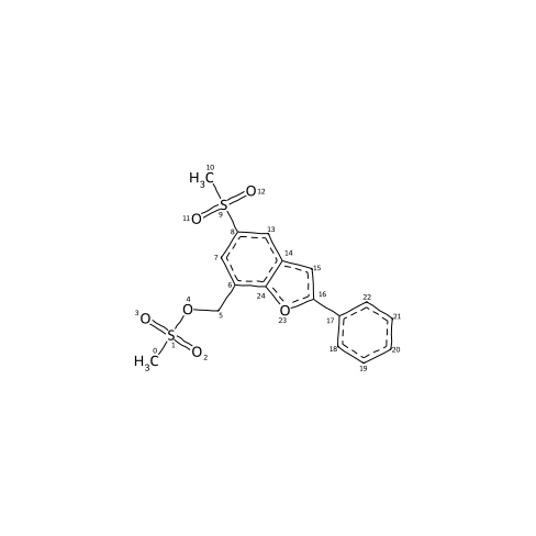 CS(=O)(=O)OCc1cc(S(C)(=O)=O)cc2cc(-c3ccccc3)oc12